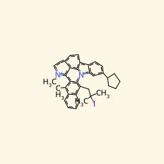 Cc1c2ccccc2c(CC(C)(C)I)c2c1c1c3c(ccc4c5ccc(C6CCCC6)cc5n2c43)cc[n+]1C